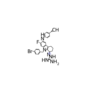 C#Cc1ccc(Nc2cc3c4c(n(Cc5ccc(Br)cc5)c3cc2F)/C(=N/NC(=N)N)CCC4)cc1